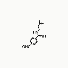 CN(C)CCNC(=N)c1ccc(C=O)cc1